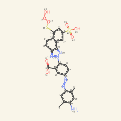 Cc1cc(N=Nc2ccc(-n3nc4ccc5c(SOOO)cc(S(=O)(=O)O)cc5c4n3)c(C(=O)O)c2)c(C)cc1N